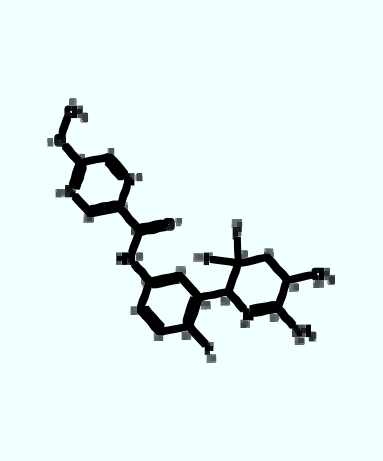 COc1cnc(C(=O)Nc2ccc(F)c(C3N=C(N)C(C)CC3(F)F)c2)cn1